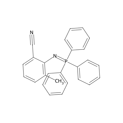 Cc1cccc(C#N)c1N=P(c1ccccc1)(c1ccccc1)c1ccccc1